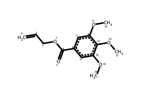 C=C[CH]OC(=O)c1cc(OC)c(OC)c(OC)c1